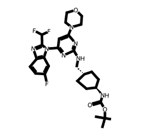 CC(C)(C)OC(=O)N[C@H]1CC[C@H](CNc2nc(N3CCOCC3)cc(-n3c(C(F)F)nc4ccc(F)cc43)n2)CC1